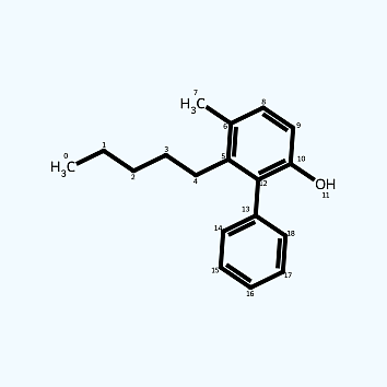 CCCCCc1c(C)ccc(O)c1-c1ccccc1